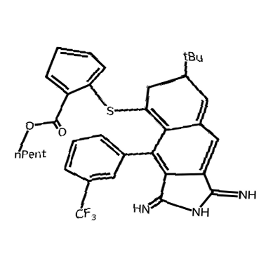 CCCCCOC(=O)c1ccccc1SC1=c2c(-c3cccc(C(F)(F)F)c3)c3c(cc2=CC(C(C)(C)C)C1)C(=N)NC3=N